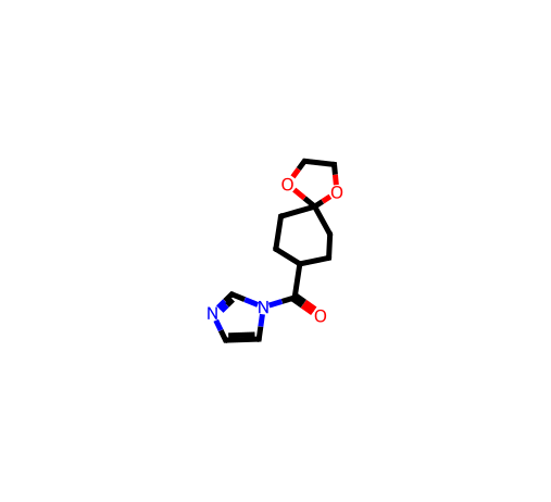 O=C(C1CCC2(CC1)OCCO2)n1ccnc1